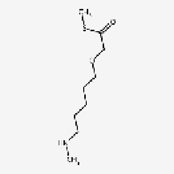 CNCCCCCOCC(=O)SC